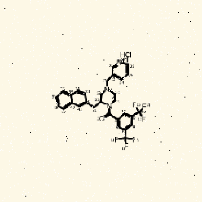 Cl.Cl.O=C(c1cc(C(F)(F)F)cc(C(F)(F)F)c1)N1CCN(Cc2cccnc2)CC1Cc1ccc2ccccc2c1